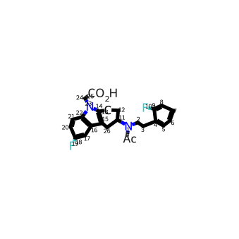 CC(=O)N(CCc1ccccc1F)C1CCc2c(c3cc(F)ccc3n2CC(=O)O)C1